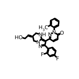 Cc1ccccc1-n1nc(-c2c(-c3ccc(F)cc3F)nn3c2NC/C(=C/CO)C3)ccc1=O